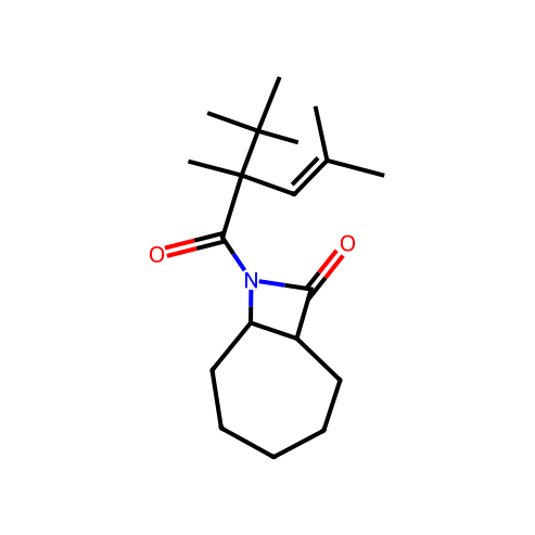 CC(C)=CC(C)(C(=O)N1C(=O)C2CCCCCC21)C(C)(C)C